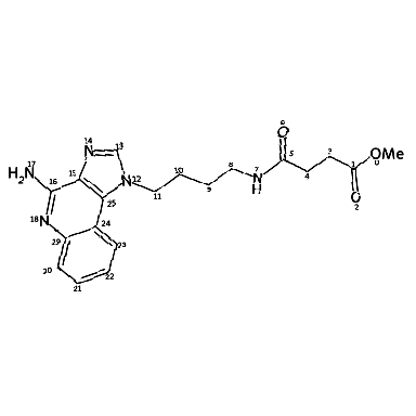 COC(=O)CCC(=O)NCCCCn1cnc2c(N)nc3ccccc3c21